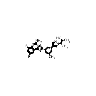 C[C@H]1C[C@@H](c2nc3c4cc(F)cc(F)c4nc(N)n3n2)CN(c2cnn([C@@H](C)[C@H](C)O)c2)C1